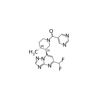 C[C@@H]1CCN(C(=O)c2cncnc2)C[C@H]1c1cc(C(F)F)nc2ncnn12